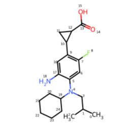 CC(C)CN(c1cc(F)c(C2CC2C(=O)O)cc1N)C1CCCCC1